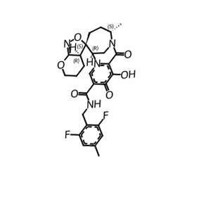 Cc1cc(F)c(CNC(=O)c2cn3c(c(O)c2=O)C(=O)N2C[C@@H]3[C@@]3(CC[C@@H]2C)ON=C2OCCC[C@@H]23)c(F)c1